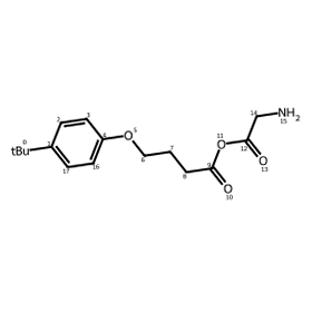 CC(C)(C)c1ccc(OCCCC(=O)OC(=O)CN)cc1